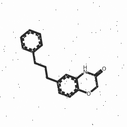 O=C1COc2ccc(CCCc3ccccc3)cc2N1